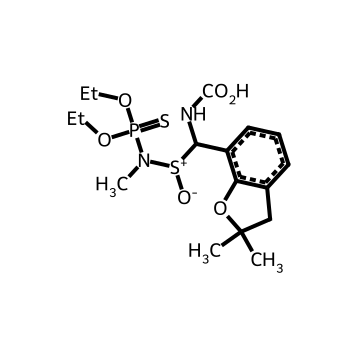 CCOP(=S)(OCC)N(C)[S+]([O-])C(NC(=O)O)c1cccc2c1OC(C)(C)C2